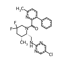 Cc1ccc(-c2ccccc2)c(C(=O)N2CC(F)(F)C[C@@H](C)[C@H]2CNc2ncc(Cl)cn2)n1